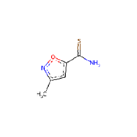 Cc1cc(C(N)=S)on1